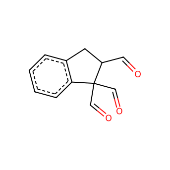 O=CC1Cc2ccccc2C1(C=O)C=O